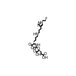 O=C(O)CC[C@H](OC(=O)N[C@@H](CCCCNCCCc1cn(CCF)nn1)C(=O)O)C(=O)O